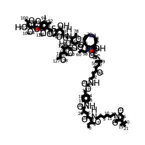 CCC(C)[C@H](NC(=O)CCCCCN1C(=O)CC(C(C)(C)C)C1=O)C(=O)C[C@@H](C)C(=O)Nc1ccc(COC(=O)NCCCC(=O)CCC(C)(C)SSC/C=C2/C3=C(CC(C)=O)C(=O)C[C@@]2(O)C#C/C=C\C#C[C@@H]3OC2OC(C)C(NOC3CC(O)C(SC(=O)c4c(C)c(I)c(OC5OC(C)C(O)C(OC)C5O)c(C)c4OC)C(C)O3)C(O)C2OC2CC(C)C(CC(C)=O)CO2)cc1